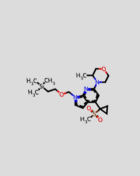 CC1COCCN1c1cc(C2(S(C)(=O)=O)CC2)c2ccn(COCC[Si](C)(C)C)c2n1